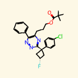 CC(C)(C)C(=O)OCCCc1nc([C@]2(c3ccc(Cl)cc3)C[C@@H](F)C2)nnc1-c1ccccc1